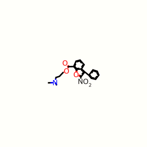 CN(C)CCCOC(=O)c1cccc2c(-c3ccccc3)c([N+](=O)[O-])oc12